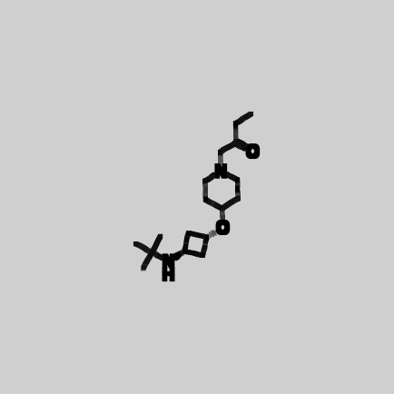 CCC(=O)CN1CCC(O[C@H]2C[C@H](NC(C)(C)C)C2)CC1